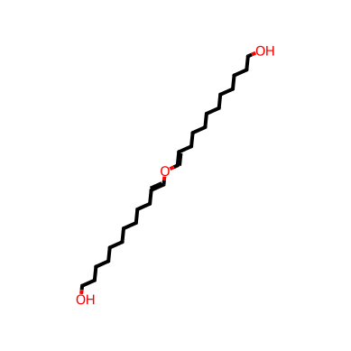 OCCCCCCCCCCC=COC=CCCCCCCCCCCO